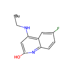 CC(C)(C)CNc1cc(O)nc2ccc(F)cc12